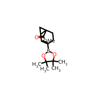 COC(=O)C12CCC(B3OC(C)(C)C(C)(C)O3)=CC1C2